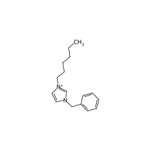 CCCCCC[n+]1ccn(Cc2ccccc2)c1